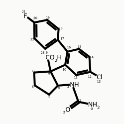 NC(=O)NC1CCCC1(C(=O)O)c1cc(Cl)ccc1-c1ccc(F)cc1